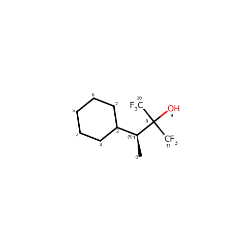 C[C@@H](C1CCCCC1)C(O)(C(F)(F)F)C(F)(F)F